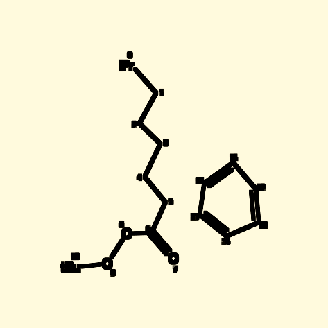 CC(C)CCCCCC(=O)OOC(C)(C)C.c1ccccc1